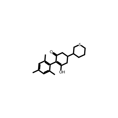 Cc1cc(C)c(C2=C(O)CC(C3CCCSC3)CC2=O)c(C)c1